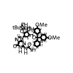 COc1ccc(C(OC[C@H]2C[C@@H](n3cnc4c(=O)[nH]c(NC(=O)C(C)C)nc43)[C@H](O[Si](C)(C)C(C)(C)C)[C@@H]2O)(c2ccccc2)c2ccc(OC)cc2)cc1